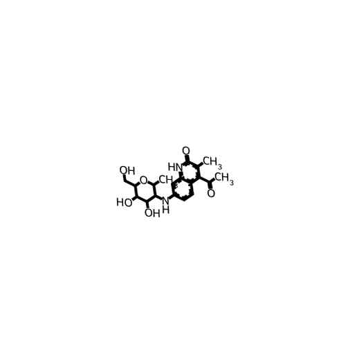 CC(=O)c1c(C)c(=O)[nH]c2cc(NC3C(C)OC(CO)C(O)C3O)ccc12